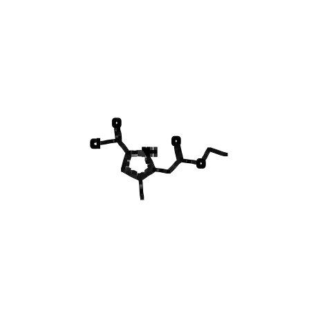 CCOC(=O)Cc1[nH]c(C(=O)Cl)cc1C